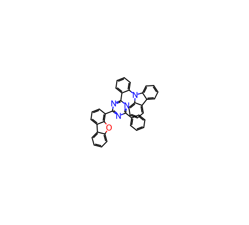 c1ccc(-c2nc(-c3ccccc3-n3c4ccccc4c4ccccc43)nc(-c3cccc4c3oc3ccccc34)n2)cc1